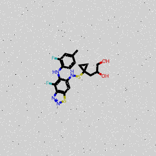 Cc1ccc(Nc2c(NSC3(CC(O)CO)CC3)cc3snnc3c2F)c(F)c1